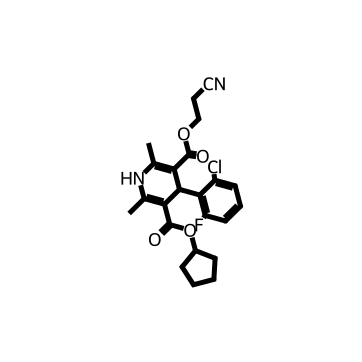 CC1=C(C(=O)OCCC#N)C(c2c(F)cccc2Cl)C(C(=O)OC2CCCC2)=C(C)N1